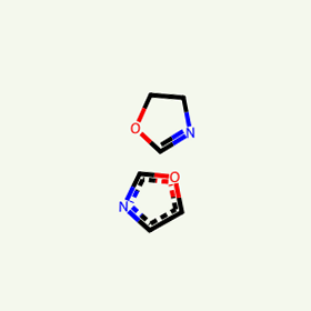 C1=NCCO1.c1cocn1